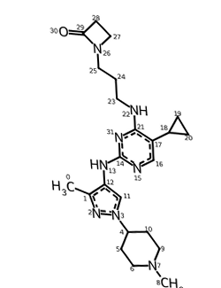 Cc1nn(C2CCN(C)CC2)cc1Nc1ncc(C2CC2)c(NCCCN2CCC2=O)n1